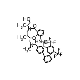 CC(CO)N1C[C@@H](C)[C@@H](CN(C)Cc2ccc(-c3ccccc3)cc2)Oc2c(NC(=O)Cc3ccc(C(F)(F)F)cc3C(F)(F)F)cccc2C1=O